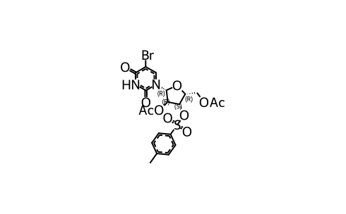 CC(=O)OC[C@H]1O[C@@H](n2cc(Br)c(=O)[nH]c2=O)[C@H](OC(C)=O)[C@H]1OS(=O)(=O)c1ccc(C)cc1